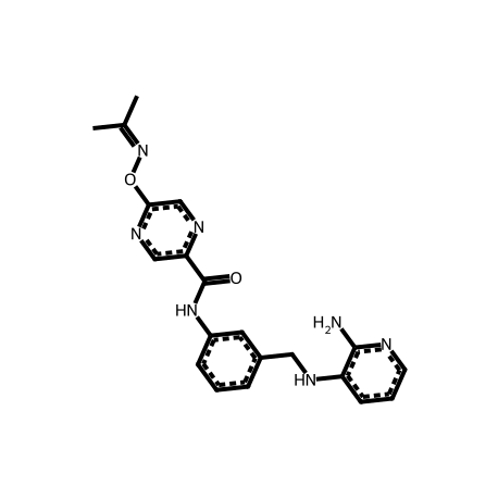 CC(C)=NOc1cnc(C(=O)Nc2cccc(CNc3cccnc3N)c2)cn1